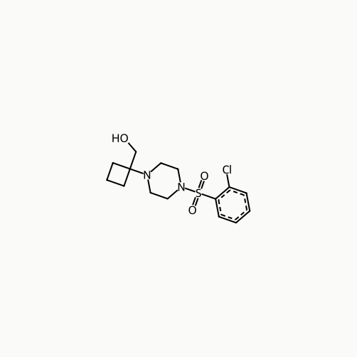 O=S(=O)(c1ccccc1Cl)N1CCN(C2(CO)CCC2)CC1